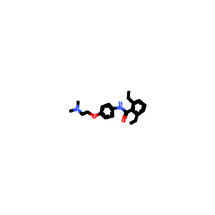 CCc1cccc(CC)c1C(=O)Nc1ccc(OCCN(C)C)cc1